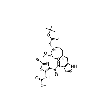 CO[C@H]1CO[C@H](Cc2[nH]ncc2NC(=O)c2nc(Br)sc2NC(=O)O)CC[C@H]1NC(=O)OC(C)(C)C